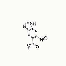 COC(=O)c1cc2nc[nH]c2cc1N=O